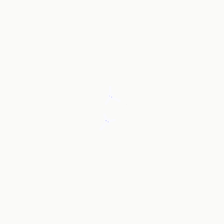 CC(C)=C1N(C(C)C)C=C(C(C)C)N1C(C)C